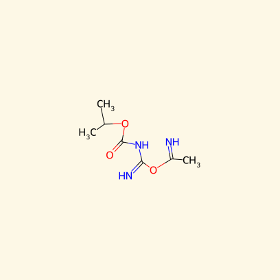 CC(=N)OC(=N)NC(=O)OC(C)C